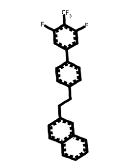 Fc1cc(-c2ccc(CCc3ccc4ccccc4c3)cc2)cc(F)c1C(F)(F)F